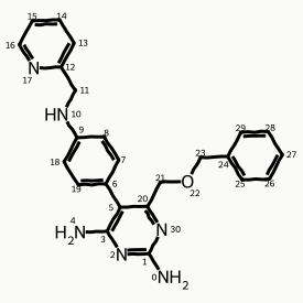 Nc1nc(N)c(-c2ccc(NCc3ccccn3)cc2)c(COCc2ccccc2)n1